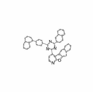 c1ccc2cc(-c3nc(-c4ccc(-c5cccc6ccccc56)cc4)nc(-c4ccnc5oc6cc7ccccc7cc6c45)n3)ccc2c1